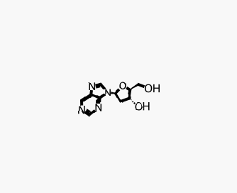 OC[C@@H]1O[C@H](n2cnc3cncnc32)C[C@H]1O